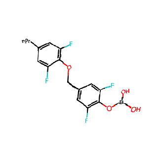 CCCc1cc(F)c(OCc2cc(F)c(OB(O)O)c(F)c2)c(F)c1